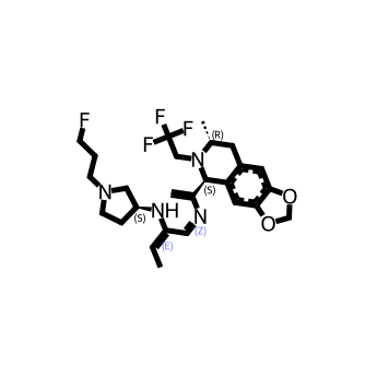 C=C(/N=C\C(=C/C)N[C@H]1CCN(CCCF)C1)[C@@H]1c2cc3c(cc2C[C@@H](C)N1CC(F)(F)F)OCO3